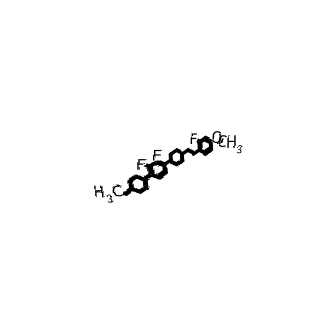 CCC1CCC(c2ccc(C3CCC(CCc4ccc(OC)cc4F)CC3)c(F)c2F)CC1